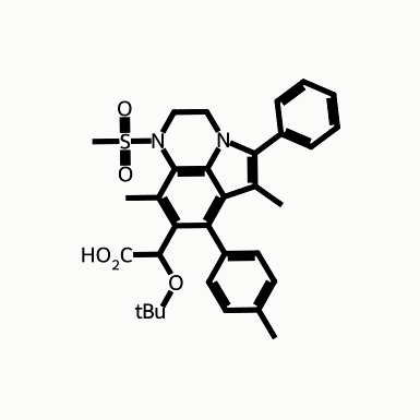 Cc1ccc(-c2c(C(OC(C)(C)C)C(=O)O)c(C)c3c4c2c(C)c(-c2ccccc2)n4CCN3S(C)(=O)=O)cc1